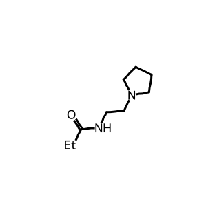 CCC(=O)NCCN1CCCC1